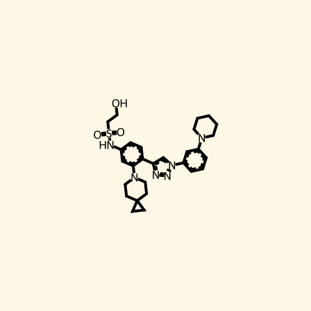 O=S(=O)(CCO)Nc1ccc(-c2cn(-c3cccc(N4CCCCC4)c3)nn2)c(N2CCC3(CC2)CC3)c1